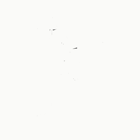 CS(=O)(=O)N[C@H]1CCCC[C@@H]1N1C(=O)c2ccccc2[C@@H](CC(=O)NCCc2cccc(C(F)(F)C(=O)O)c2)[C@@H]1c1ccc(Cl)cc1Cl